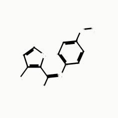 CCOC(=O)C(=Nc1ccc(OCC)cc1)c1[nH]ccc1C